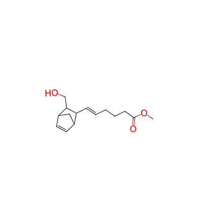 COC(=O)CCCC=CC1C2C=CC(C2)C1CO